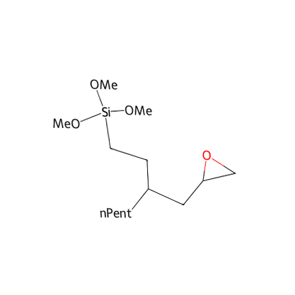 CCCCCC(CC[Si](OC)(OC)OC)CC1CO1